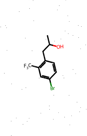 CC(O)Cc1ccc(Br)cc1C(F)(F)F